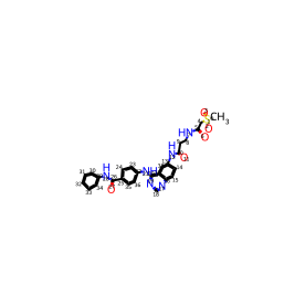 CS(=O)(=O)CC(=O)NCCC(=O)Nc1ccc2ncnc(Nc3ccc(C(=O)Nc4ccccc4)cc3)c2c1